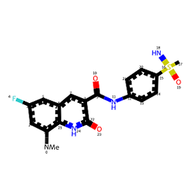 CNc1cc(F)cc2cc(C(=O)Nc3ccc(S(C)(=N)=O)cc3)c(=O)[nH]c12